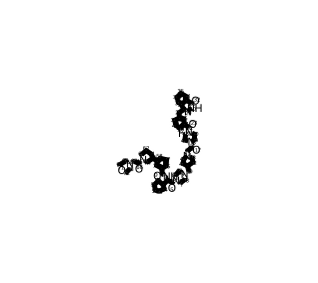 O=C(N[C@@H](C(=O)N1CCN(CC2CCN(CC(=O)N3CCN(C(=O)c4cc(Cc5n[nH]c(=O)c6ccccc56)ccc4F)CC3)CC2)CC1)C1CCCCC1)c1cccc(C2CCCN(C(=O)CN3CCOCC3)C2)c1